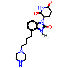 Cn1c(=O)n(C2CCC(=O)NC2=O)c2cccc(CCCCN3CCNCC3)c21